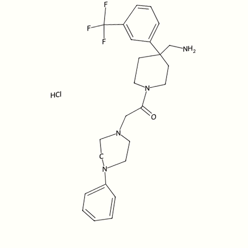 Cl.NCC1(c2cccc(C(F)(F)F)c2)CCN(C(=O)CN2CCN(c3ccccc3)CC2)CC1